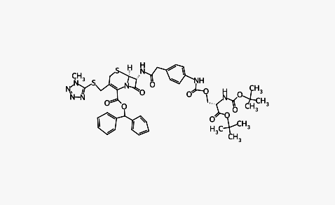 Cn1nnnc1SCC1=C(C(=O)OC(c2ccccc2)c2ccccc2)N2C(=O)[C@@H](NC(=O)Cc3ccc(NC(=O)OC[C@H](NC(=O)OC(C)(C)C)C(=O)OC(C)(C)C)cc3)[C@@H]2SC1